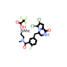 CNCCN(C)C(=O)c1cc(Cc2c[nH]c(=O)c3cc(Cl)c(Cl)n23)ccc1F.O=C(O)C(F)(F)F